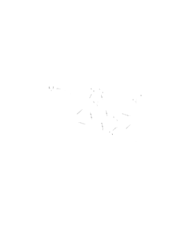 COC1CC(c2cccc(-c3cnc4c(C(F)(F)F)cc(C(C)NC5(C)CCC5)cn4c3=O)c2)(c2nncn2C)C1